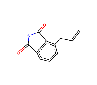 C=CCc1cccc2c1C(=O)[N]C2=O